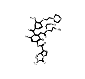 CCc1c(OC(=O)c2ncn3c(=O)n(C)nnc23)cc(O)c(C(=O)c2ccc(OCCN3CCOCC3)c(OC)c2)c1CC(=O)N(CCOC)CCOC